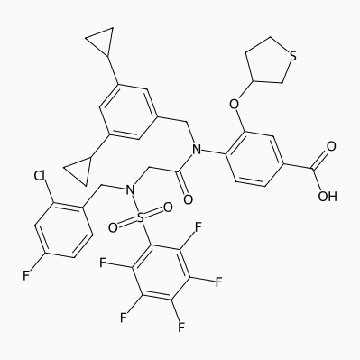 O=C(O)c1ccc(N(Cc2cc(C3CC3)cc(C3CC3)c2)C(=O)CN(Cc2ccc(F)cc2Cl)S(=O)(=O)c2c(F)c(F)c(F)c(F)c2F)c(OC2CCSC2)c1